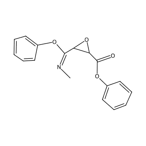 CN=C(Oc1ccccc1)C1OC1C(=O)Oc1ccccc1